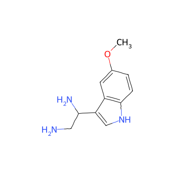 COc1ccc2[nH]cc(C(N)CN)c2c1